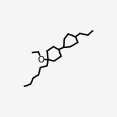 CCCCCCC1(OCC)CCC(C2CCC(CCC)CC2)CC1